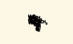 CN(C)c1cc2nc(-c3ccco3)oc2c2c1C[C@H]1C[C@H]3[C@H](N(C)C)C(O)=C(C(N)=O)C(=O)[C@@]3(O)C(O)=C1C2=O